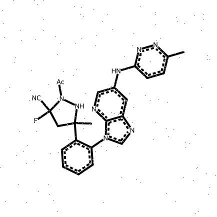 CC(=O)N1NC(C)(c2ccccc2-n2cnc3cc(Nc4ccc(C)nn4)cnc32)CC1(F)C#N